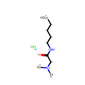 CCCCCCCCCCCCNC(=O)CN(CC)CC.Cl